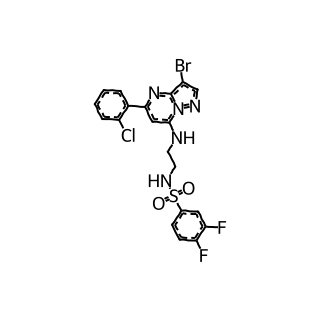 O=S(=O)(NCCNc1cc(-c2ccccc2Cl)nc2c(Br)cnn12)c1ccc(F)c(F)c1